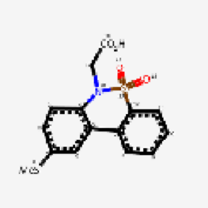 CSc1ccc2c(c1)-c1ccccc1S(=O)(=O)N2CC(=O)O